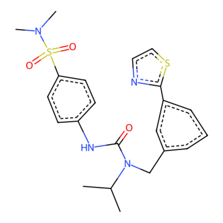 CC(C)N(Cc1cccc(-c2nccs2)c1)C(=O)Nc1ccc(S(=O)(=O)N(C)C)cc1